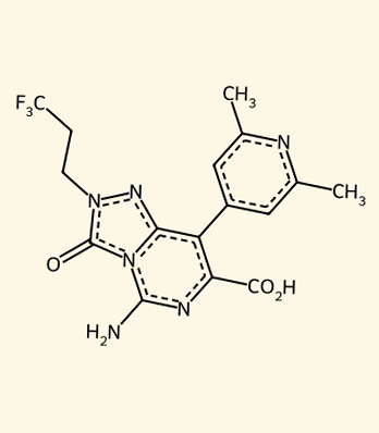 Cc1cc(-c2c(C(=O)O)nc(N)n3c(=O)n(CCC(F)(F)F)nc23)cc(C)n1